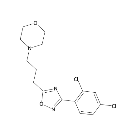 Clc1ccc(-c2noc(CCCN3CCOCC3)n2)c(Cl)c1